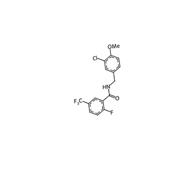 COc1ccc(CNC(=O)c2cc(C(F)(F)F)ccc2F)cc1Cl